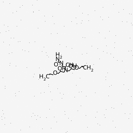 C=CCOCC(O)CN(CC(O)COCC=C)C(C)C=NC(N)=O